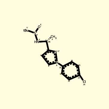 C[C@@H](N[S+]([O-])C(C)(C)C)c1ccn(-c2ccc(Cl)cc2)n1